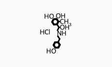 Cc1c(C(O)CNCCc2ccc(O)cc2)ccc(O)c1O.Cl